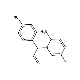 C=CC(c1ccc(C#N)cc1)N1C=C(C)C=CC1N